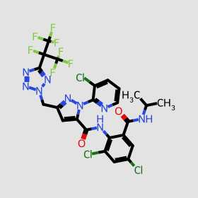 CC(C)NC(=O)c1cc(Cl)cc(Cl)c1NC(=O)c1cc(Cn2nnc(C(F)(C(F)(F)F)C(F)(F)F)n2)nn1-c1ncccc1Cl